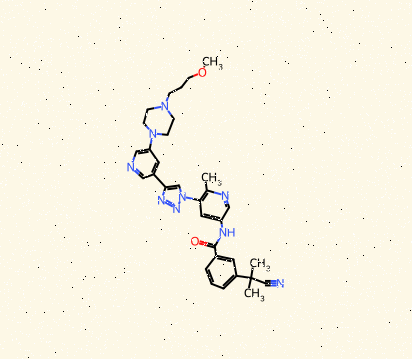 COCCCN1CCN(c2cncc(-c3cn(-c4cc(NC(=O)c5cccc(C(C)(C)C#N)c5)cnc4C)nn3)c2)CC1